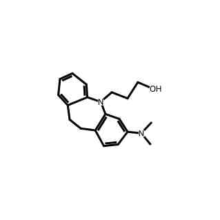 CN(C)c1ccc2c(c1)N(CCCO)c1ccccc1CC2